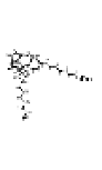 CCCCCCCCCCCCCCCCCc1ccc(N(N2C(=O)C=CC2=O)S(=O)(=O)CCCCCCCCF)cc1